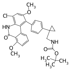 COc1cc(Cl)c2[nH]c(=O)c3c(OC)cccc3c2c1-c1ccc(C2(CNC(=O)OC(C)(C)C)CC2)cc1